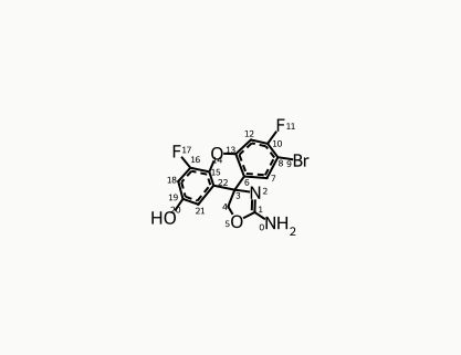 NC1=NC2(CO1)c1cc(Br)c(F)cc1Oc1c(F)cc(O)cc12